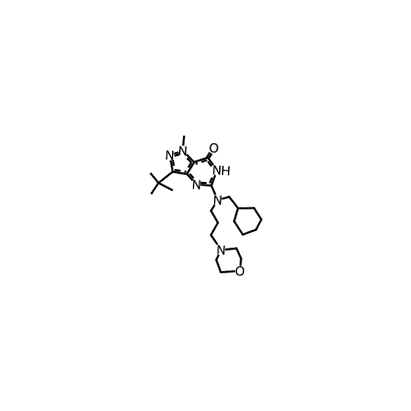 Cn1nc(C(C)(C)C)c2nc(N(CCCN3CCOCC3)CC3CCCCC3)[nH]c(=O)c21